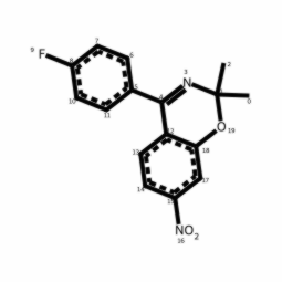 CC1(C)N=C(c2ccc(F)cc2)c2ccc([N+](=O)[O-])cc2O1